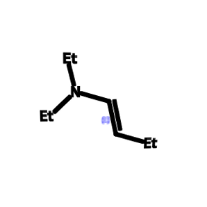 [CH2]C/C=C/N(CC)CC